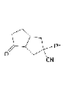 CC(C)C1(C#N)CC2CCC(=O)C2C1